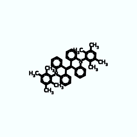 Cc1cc(C)c(C)c(N2c3ccccc3C(=C3c4ccccc4N(c4c(C)c(C)cc(C)c4C)c4ccccc43)c3ccccc32)c1C